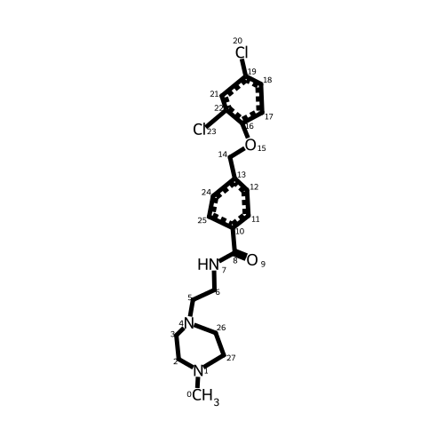 CN1CCN(CCNC(=O)c2ccc(COc3ccc(Cl)cc3Cl)cc2)CC1